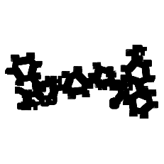 CCCN(C)C(=O)[C@@H](NC(=O)c1ccc(-c2csc(NC(=O)c3ccccc3-c3ccc(C(C)C)cc3)n2)cc1)c1ccccc1